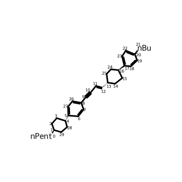 CCCCC[C@H]1CC[C@H](c2ccc(C#CC=C[C@H]3CC[C@H](c4ccc(CCCC)cc4)CC3)cc2)CC1